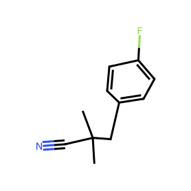 CC(C)(C#N)Cc1ccc(F)cc1